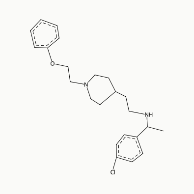 CC(NCCC1CCN(CCOc2ccccc2)CC1)c1ccc(Cl)cc1